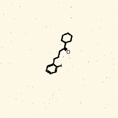 O=C(CCCc1ccccc1I)C1CCCCC1